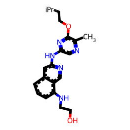 Cc1ncc(Nc2cc3cccc(NCCO)c3cn2)nc1OCCC(C)C